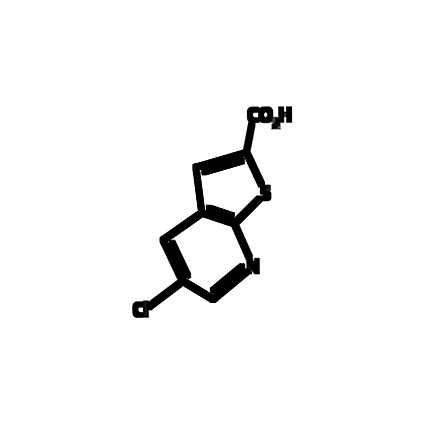 O=C(O)c1cc2cc(Cl)cnc2s1